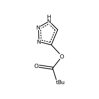 CC(C)(C)C(=O)Oc1c[nH]nn1